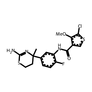 COc1c(C(=O)Nc2cc(C3(C)CCSC(N)=N3)ccc2F)csc1Cl